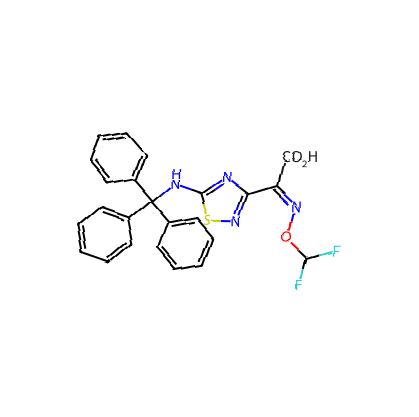 O=C(O)/C(=N/OC(F)F)c1nsc(NC(c2ccccc2)(c2ccccc2)c2ccccc2)n1